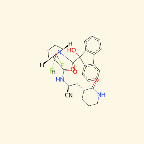 N#C[C@H](C[C@H]1CCCNC1=O)NC(=O)[C@H]1[C@@H]2CC[C@@H](CC2(F)F)N1C(=O)C1(O)c2ccccc2-c2ccccc21